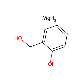 OCc1ccccc1O.[MgH2]